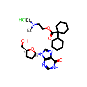 CCN(CC)CCOC(=O)C1(C2CCCCC2)CCCCC1.Cl.O=c1[nH]cnc2c1ncn2[C@H]1CC[C@@H](CO)O1